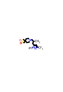 CC(C)n1nc(C(F)(F)F)cc1C[C@H](C)CN1CCC2(CC1)CS(=O)(=O)C2